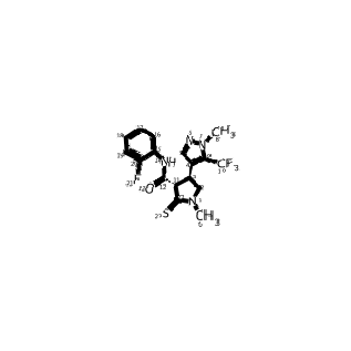 CN1C[C@H](c2cnn(C)c2C(F)(F)F)[C@@H](C(=O)Nc2ccccc2F)C1=S